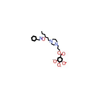 CCCC(CCN1CCCN(CCCOC(=O)c2cc(OC)c(OC)c(OC)c2)CC1)O/N=C/c1ccccc1